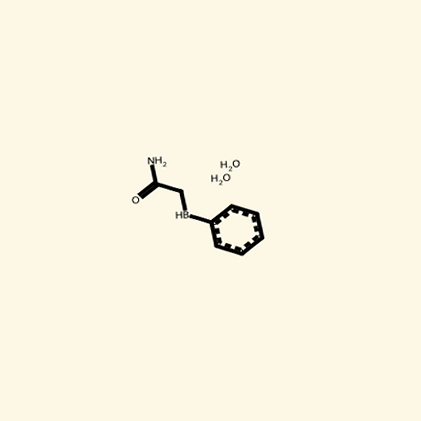 NC(=O)CBc1ccccc1.O.O